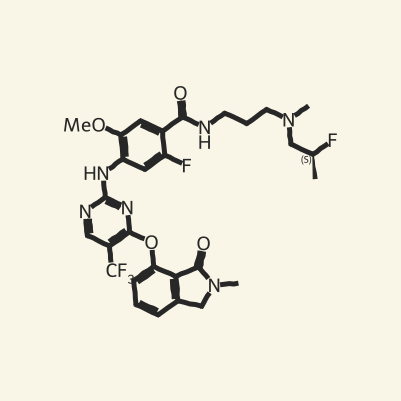 COc1cc(C(=O)NCCCN(C)C[C@H](C)F)c(F)cc1Nc1ncc(C(F)(F)F)c(Oc2cccc3c2C(=O)N(C)C3)n1